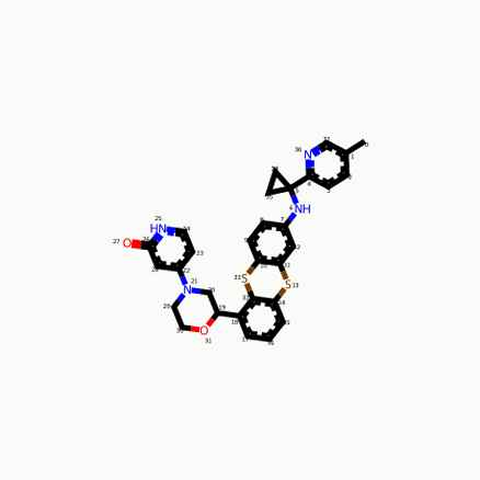 Cc1ccc(C2(Nc3ccc4c(c3)Sc3cccc(C5CN(c6cc[nH]c(=O)c6)CCO5)c3S4)CC2)nc1